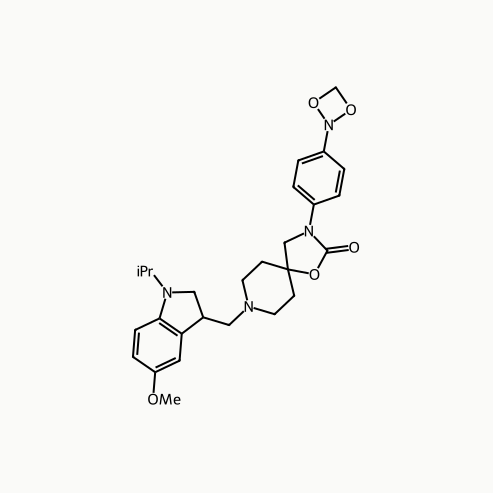 COc1ccc2c(c1)C(CN1CCC3(CC1)CN(c1ccc(N4OCO4)cc1)C(=O)O3)CN2C(C)C